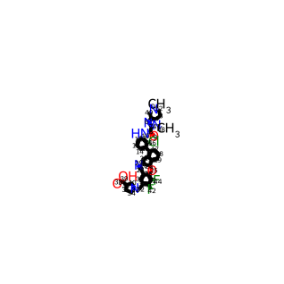 CN1CCc2c(nc(C(=O)Nc3cccc(-c4cccc5c4CCC5Oc4c(C#N)cc(CN5CCC(C(=O)O)C5)c(F)c4F)c3Cl)n2C)C1